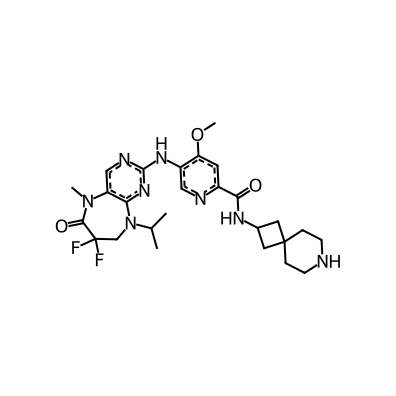 COc1cc(C(=O)NC2CC3(CCNCC3)C2)ncc1Nc1ncc2c(n1)N(C(C)C)CC(F)(F)C(=O)N2C